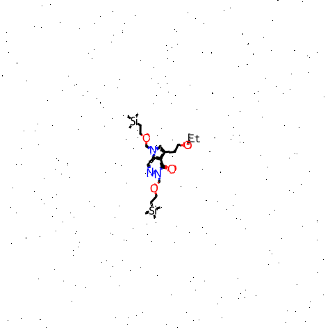 CCOCCc1cn(COCC[Si](C)(C)C)c2cnn(COCC[Si](C)(C)C)c(=O)c12